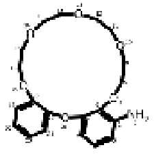 Nc1cccc2c1OCCOCCOCCOCCOc1ccccc1O2